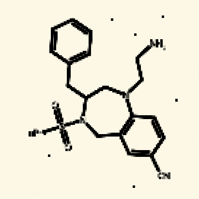 CCCS(=O)(=O)N1Cc2cc(C#N)ccc2N(CCN)CC1Cc1ccccc1